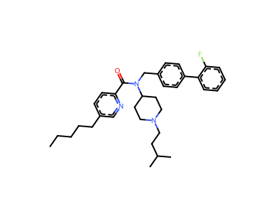 CCCCCc1ccc(C(=O)N(Cc2ccc(-c3ccccc3F)cc2)C2CCN(CCC(C)C)CC2)nc1